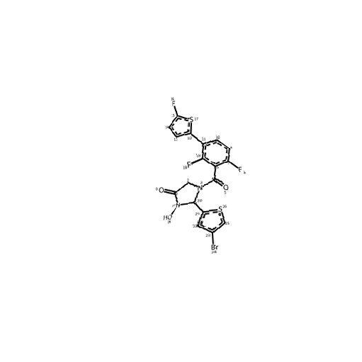 O=C1CN(C(=O)c2c(F)ccc(-c3ccc(F)s3)c2F)C(c2cc(Br)cs2)N1O